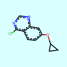 Clc1ncnc2cc(OC3CC3)ccc12